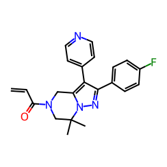 C=CC(=O)N1Cc2c(-c3ccncc3)c(-c3ccc(F)cc3)nn2C(C)(C)C1